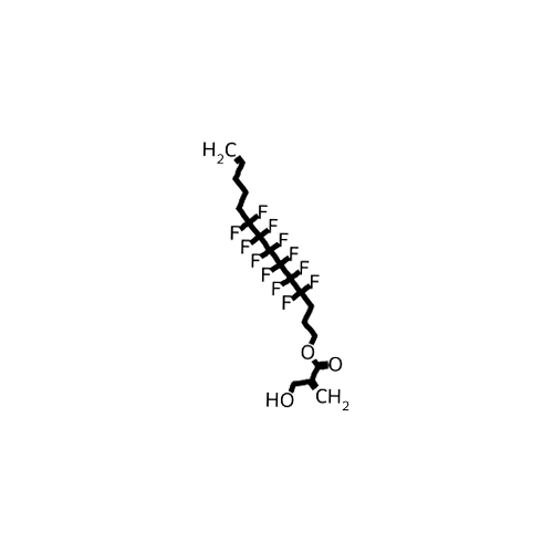 C=CCCCC(F)(F)C(F)(F)C(F)(F)C(F)(F)C(F)(F)C(F)(F)CCCOC(=O)C(=C)CO